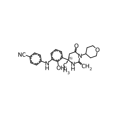 C=C1N[C@](C)(c2cccc(Nc3ccc(C#N)cc3)c2O)CC(=O)N1C1CCOCC1